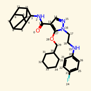 O=C(NC1C2CC3CC(C2)CC1C3)c1cnn(CCNc2ccc(F)cc2)c1OCC1CCCCC1